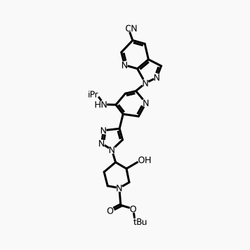 CC(C)Nc1cc(-n2ncc3cc(C#N)cnc32)ncc1-c1cn(C2CCN(C(=O)OC(C)(C)C)CC2O)nn1